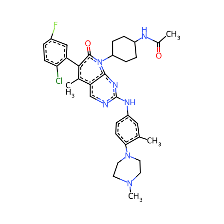 CC(=O)NC1CCC(n2c(=O)c(-c3cc(F)ccc3Cl)c(C)c3cnc(Nc4ccc(N5CCN(C)CC5)c(C)c4)nc32)CC1